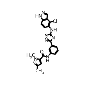 Cc1cc(C(=O)Nc2cccc(-c3nsc(Nc4ccc5[nH]ncc5c4Cl)n3)c2)n(C)n1